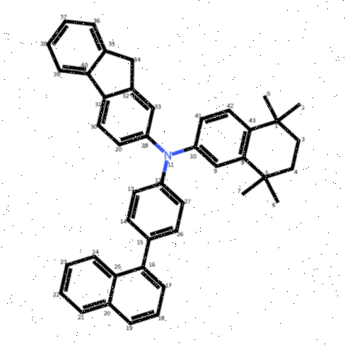 CC1(C)CCC(C)(C)c2cc(N(c3ccc(-c4cccc5ccccc45)cc3)c3ccc4c(c3)Cc3ccccc3-4)ccc21